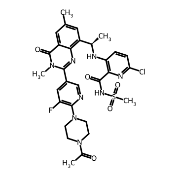 CC(=O)N1CCN(c2ncc(-c3nc4c([C@@H](C)Nc5ccc(Cl)nc5C(=O)NS(C)(=O)=O)cc(C)cc4c(=O)n3C)cc2F)CC1